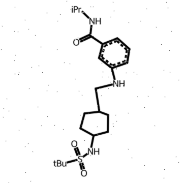 CC(C)NC(=O)c1cccc(NCC2CCC(NS(=O)(=O)C(C)(C)C)CC2)c1